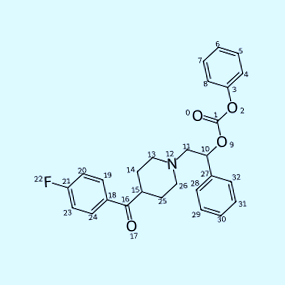 O=C(Oc1ccccc1)OC(CN1CCC(C(=O)c2ccc(F)cc2)CC1)c1ccccc1